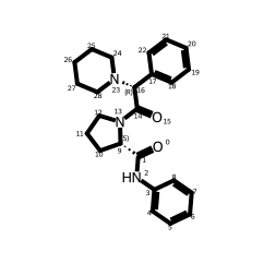 O=C(Nc1ccccc1)[C@@H]1CCCN1C(=O)[C@@H](c1ccccc1)N1CCCCC1